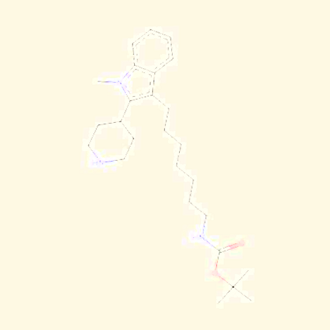 Cn1c(C2CCNCC2)c(CCCCCCCNC(=O)OC(C)(C)C)c2ccccc21